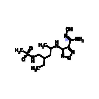 CCC(CNS(C)(=O)=O)CC(C)Nc1nonc1/C(N)=N/O